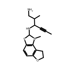 CC#CC(NC1Sc2ccc3c(c2N1C)CCO3)C(C)CN